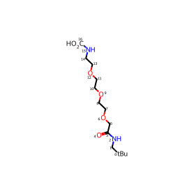 CC(C)(C)CNC(=O)COCCOCCOCCNC(=O)O